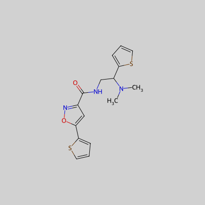 CN(C)C(CNC(=O)c1cc(-c2cccs2)on1)c1cccs1